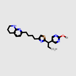 CCOc1ncc(C(CC(=O)O)c2nc(CCCCc3ccc4c(n3)NCCC4)cs2)cn1